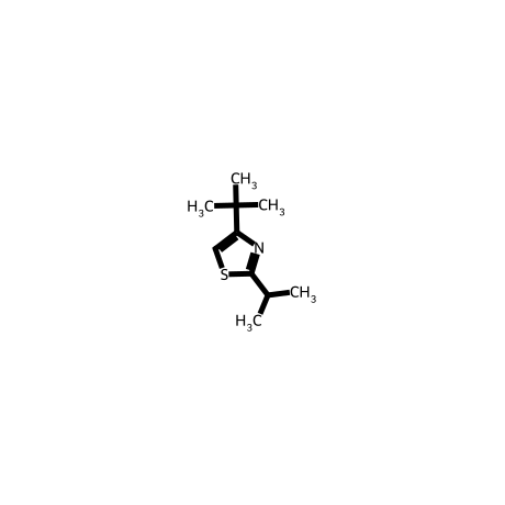 CC(C)c1nc(C(C)(C)C)cs1